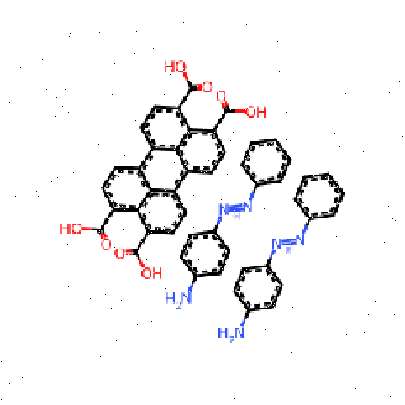 Nc1ccc(/N=N/c2ccccc2)cc1.Nc1ccc(/N=N/c2ccccc2)cc1.O=C(O)c1ccc2c3ccc(C(=O)O)c4c(C(=O)O)ccc(c5ccc(C(=O)O)c1c25)c43